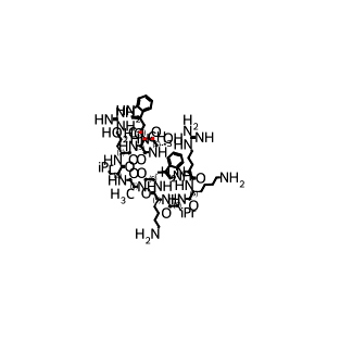 CC(C)C[C@H](NC(=O)[C@H](C)NC(=O)[C@H](Cc1c[nH]c2ccccc12)NC(=O)[C@H](CCCCN)NC(=O)[C@@H](NC(=O)[C@H](CCCCN)NC(=O)[C@@H](N)CCCNC(=N)N)C(C)C)C(=O)N[C@@H](CCCNC(=N)N)C(=O)N[C@H](C(=O)N[C@@H](CO)C(=O)N[C@@H](Cc1c[nH]c2ccccc12)C(=O)O)[C@@H](C)O